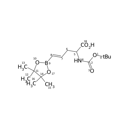 CC(C)(C)OC(=O)NC(CC=CB1OC(C)(C)C(C)(C)O1)C(=O)O